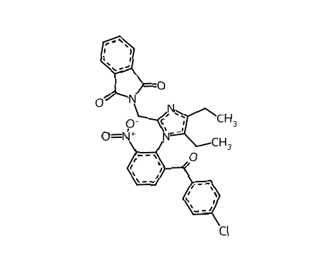 CCc1nc(CN2C(=O)c3ccccc3C2=O)n(-c2c(C(=O)c3ccc(Cl)cc3)cccc2[N+](=O)[O-])c1CC